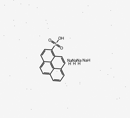 O=S(=O)(O)c1ccc2ccc3cccc4ccc1c2c34.[NaH].[NaH].[NaH].[NaH]